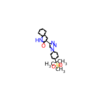 CC(C)(c1ccc(-n2cc(-c3cc4ccccc4[nH]c3=O)nn2)cc1)S(C)(=O)=O